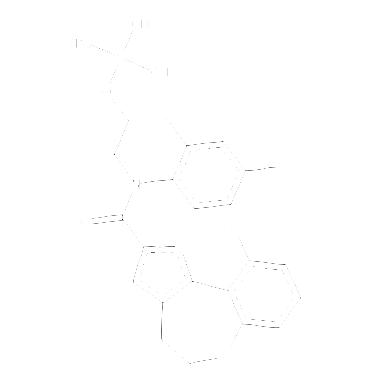 Cc1cccc2c1-c1sc(C(=O)N(CCO[Si](C)(C)C(C)(C)C)c3ccc(C(=O)O)cc3Cl)cc1CCO2